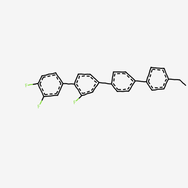 CCc1ccc(-c2ccc(-c3ccc(-c4ccc(F)c(F)c4)c(F)c3)cc2)cc1